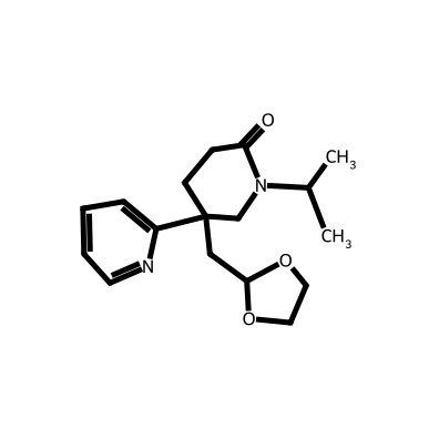 CC(C)N1CC(CC2OCCO2)(c2ccccn2)CCC1=O